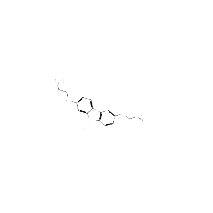 NCCOc1ccc2c(c1)c1ccc(OCCN)cc1[s+]2[O-]